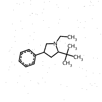 CCN1CC(c2ccccc2)CC1C(C)(C)C